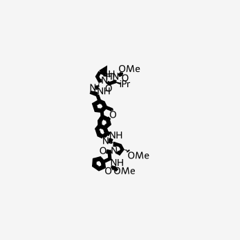 COC[C@H]1C[C@@H](c2nc3ccc4cc5c(cc4c3[nH]2)OCc2cc(-c3cnc([C@@H]4CC6C[C@H]6N4C(=O)[C@@H](NC(=O)OC)C(C)C)[nH]3)ccc2-5)N(C(=O)[C@H](NC(=O)OC)c2ccccc2)C1